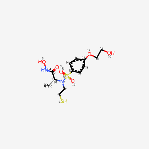 CC(C)[C@H](C(=O)NO)N(CCS)S(=O)(=O)c1ccc(OCCO)cc1